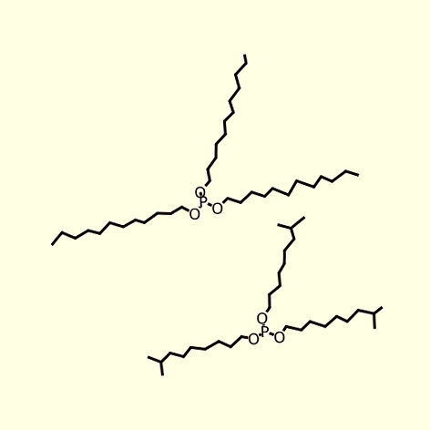 CC(C)CCCCCCCOP(OCCCCCCCC(C)C)OCCCCCCCC(C)C.CCCCCCCCCCCCOP(OCCCCCCCCCCCC)OCCCCCCCCCCCC